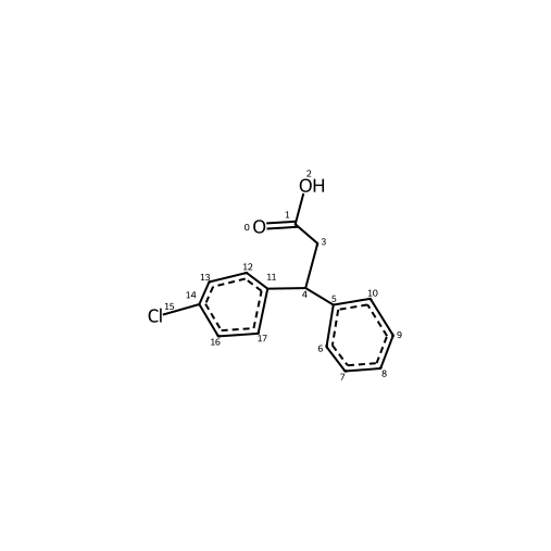 O=C(O)CC(c1ccccc1)c1ccc(Cl)cc1